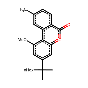 CCCCCCC(C)(C)c1cc(OC)c2c(c1)oc(=O)c1ccc(C(F)(F)F)cc12